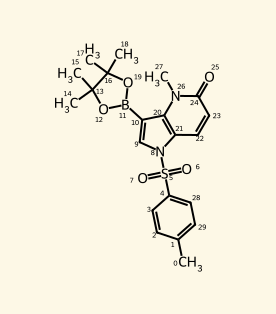 Cc1ccc(S(=O)(=O)n2cc(B3OC(C)(C)C(C)(C)O3)c3c2ccc(=O)n3C)cc1